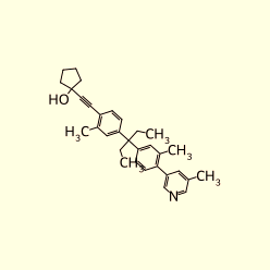 CCC(CC)(c1ccc(C#CC2(O)CCCC2)c(C)c1)c1ccc(-c2cncc(C)c2)c(C)c1